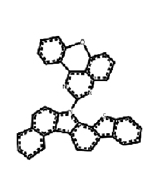 c1ccc2c(c1)Oc1cccc3nc(-n4c5ccc6ccccc6c5c5ccc6c7ccccc7sc6c54)nc-2c13